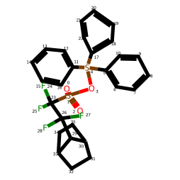 O=S(=O)(OS(c1ccccc1)(c1ccccc1)c1ccccc1)C(F)(F)C(F)(F)C1C2CCC1CC2